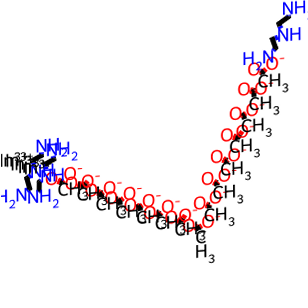 CC(=O)[O-].CC(=O)[O-].CC(=O)[O-].CC(=O)[O-].CC(=O)[O-].CC(=O)[O-].CC(=O)[O-].CC(=O)[O-].CC(=O)[O-].CC(=O)[O-].CC(=O)[O-].CC(=O)[O-].CC(=O)[O-].CC(=O)[O-].CC(=O)[O-].NCCNCCN.NCCNCCN.NCCNCCN.[In+3].[In+3].[In+3].[In+3].[In+3]